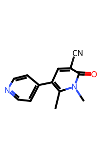 Cc1c(-c2ccncc2)cc(C#N)c(=O)n1C